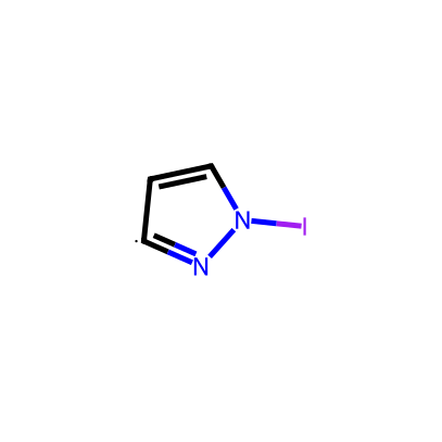 In1cc[c]n1